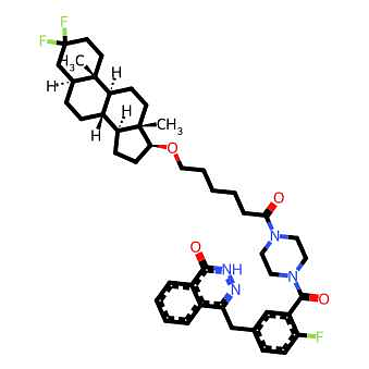 C[C@]12CCC(F)(F)C[C@@H]1CC[C@@H]1[C@@H]2CC[C@]2(C)[C@@H](OCCCCCC(=O)N3CCN(C(=O)c4cc(Cc5n[nH]c(=O)c6ccccc56)ccc4F)CC3)CC[C@@H]12